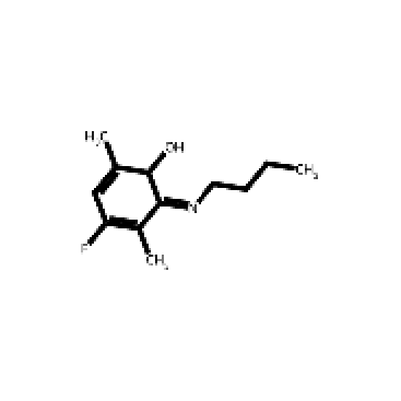 CCCCN=C1C(C)=C(F)C=C(C)C1O